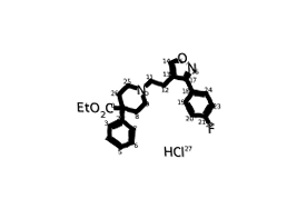 CCOC(=O)C1(c2ccccc2)CCN(CCc2conc2-c2ccc(F)cc2)CC1.Cl